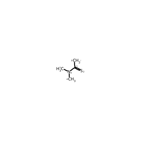 [CH2]C(=S)N(C)C